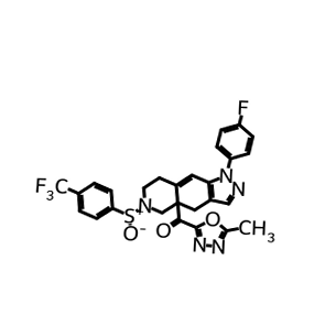 Cc1nnc(C(=O)C23Cc4cnn(-c5ccc(F)cc5)c4C=C2CCN([S+]([O-])c2ccc(C(F)(F)F)cc2)C3)o1